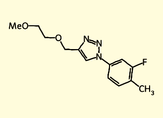 COCCOCc1cn(-c2ccc(C)c(F)c2)nn1